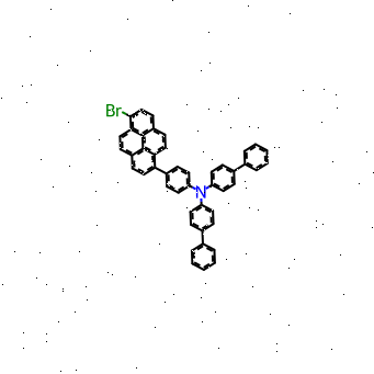 Brc1ccc2ccc3c(-c4ccc(N(c5ccc(-c6ccccc6)cc5)c5ccc(-c6ccccc6)cc5)cc4)ccc4ccc1c2c43